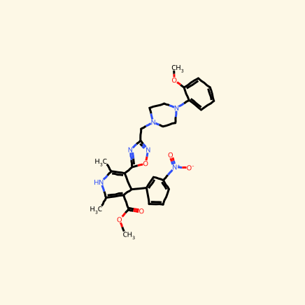 COC(=O)C1=C(C)NC(C)=C(c2nc(CN3CCN(c4ccccc4OC)CC3)no2)C1c1cccc([N+](=O)[O-])c1